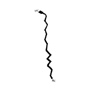 C#CCCCCCCCCCCCCCCC(C)=O